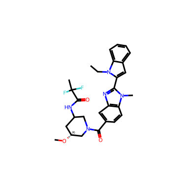 CCn1c(-c2nc3cc(C(=O)N4CC(NC(=O)C(C)(F)F)C[C@@H](OC)C4)ccc3n2C)cc2ccccc21